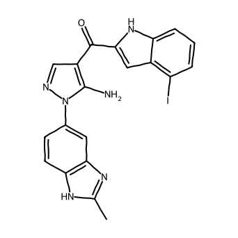 Cc1nc2cc(-n3ncc(C(=O)c4cc5c(I)cccc5[nH]4)c3N)ccc2[nH]1